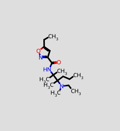 CCCC(C)(N(C)CC)C(C)(C)NC(=O)c1cc(CC)on1